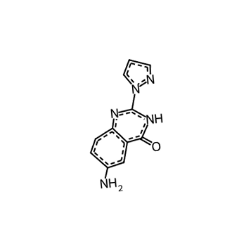 Nc1ccc2nc(-n3cccn3)[nH]c(=O)c2c1